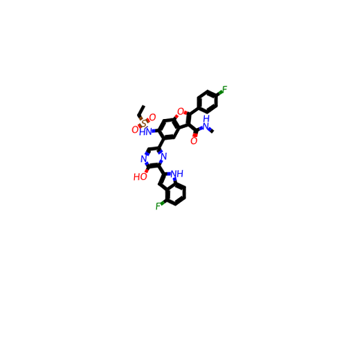 CCS(=O)(=O)Nc1cc2oc(-c3ccc(F)cc3)c(C(=O)NC)c2cc1-c1cnc(O)c(-c2cc3c(F)cccc3[nH]2)n1